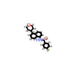 O=C(Nc1cccc2c(C3CCOCC3)cccc12)c1ccc(F)cc1